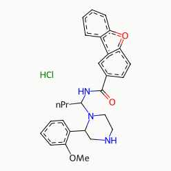 CCCC(NC(=O)c1ccc2oc3ccccc3c2c1)N1CCNCC1c1ccccc1OC.Cl